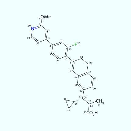 COc1cc(-c2ccc(C3=Cc4cc([C@@H](C5CC5)[C@H](C)C(=O)O)ccc4CC3)c(F)c2)ccn1